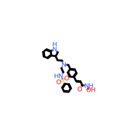 O=C(/C=C/c1ccc(CN(CCNS(=O)(=O)c2ccccc2)CCC2CNc3ccccc32)cc1)NO